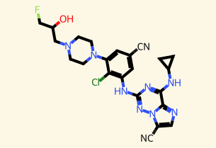 N#Cc1cc(Nc2nc(NC3CC3)c3ncc(C#N)n3n2)c(Cl)c(N2CCN(CC(O)CF)CC2)c1